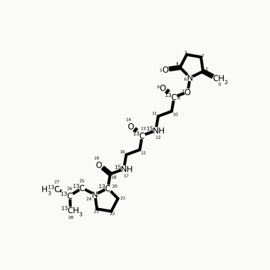 C=C1CCC(=O)N1O[13C](=O)CC[15NH][13C](=O)CC[15NH]C(=O)[13CH]1CCCN1[13CH2][13CH]([13CH3])[13CH3]